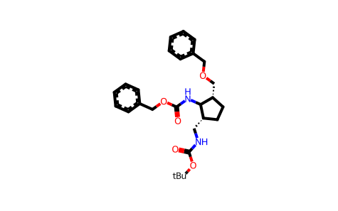 CC(C)(C)OC(=O)NC[C@H]1CC[C@@H](COCc2ccccc2)C1NC(=O)OCc1ccccc1